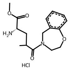 COC(=O)[C@@H](N)CC(C)C(=O)N1CCOc2ccccc2C1.Cl